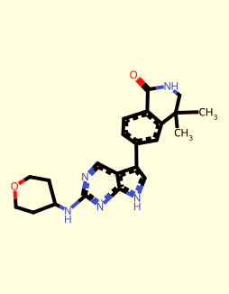 CC1(C)CNC(=O)c2ccc(-c3c[nH]c4nc(NC5CCOCC5)ncc34)cc21